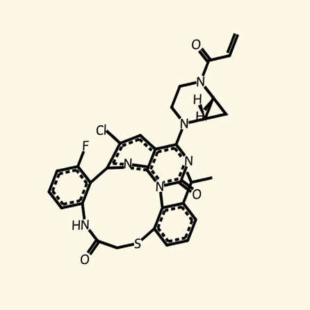 C=CC(=O)N1CCN(c2nc(=O)n3c4nc(c(Cl)cc24)-c2c(F)cccc2NC(=O)CSc2cccc(C(C)C)c2-3)[C@H]2C[C@H]21